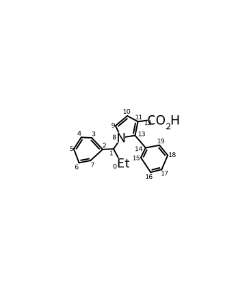 CCC(c1ccccc1)n1ccc(C(=O)O)c1-c1ccccc1